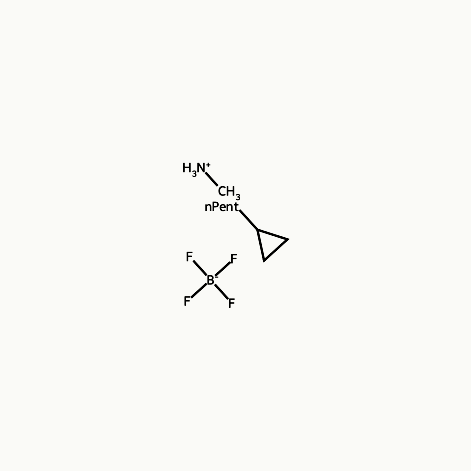 CCCCCC1CC1.C[NH3+].F[B-](F)(F)F